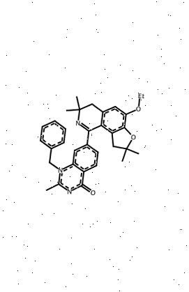 CCOc1cc2c(c3c1OC(C)(C)C3)C(c1ccc3c(=O)nc(C)n(Cc4ccccc4)c3c1)=NC(C)(C)C2